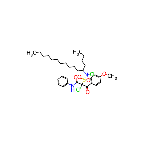 CCCCCCCCCCCC(CCCC)N(Cl)S(=O)(=O)C(Cl)(C(=O)Nc1ccccc1)C(=O)c1ccc(OC)cc1